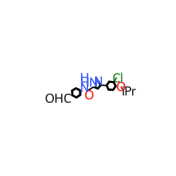 CC(C)Oc1ccc(-c2cc(C(=O)Nc3ccc(C=O)cc3)[nH]n2)cc1Cl